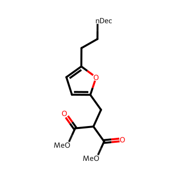 CCCCCCCCCCCCc1ccc(CC(C(=O)OC)C(=O)OC)o1